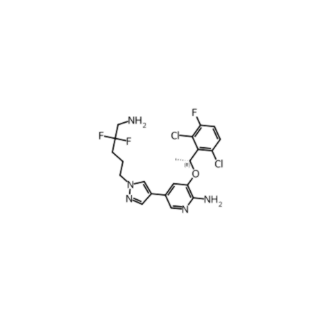 C[C@@H](Oc1cc(-c2cnn(CCCC(F)(F)CN)c2)cnc1N)c1c(Cl)ccc(F)c1Cl